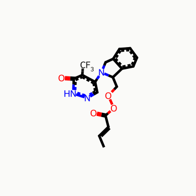 C/C=C/C(=O)OOCC1c2ccccc2CN1c1cn[nH]c(=O)c1C(F)(F)F